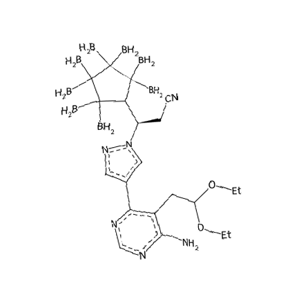 BC1(B)C([C@@H](CC#N)n2cc(-c3ncnc(N)c3CC(OCC)OCC)cn2)C(B)(B)C(B)(B)C1(B)B